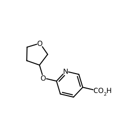 O=C(O)c1ccc(OC2CCOC2)nc1